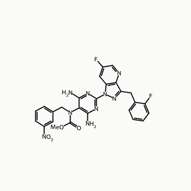 COC(=O)N(Cc1cccc([N+](=O)[O-])c1)c1c(N)nc(-n2nc(Cc3ccccc3F)c3ncc(F)cc32)nc1N